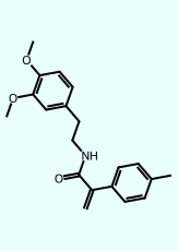 C=C(C(=O)NCCc1ccc(OC)c(OC)c1)c1ccc(C)cc1